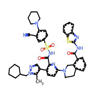 Cc1c(-c2ccc(N3CCc4cccc(C(=O)Nc5nc6ccccc6s5)c4C3)nc2C(=O)NS(=O)(=O)c2ccc(N3CCCCC3)c(C#N)c2)cnn1CC1CCCCC1